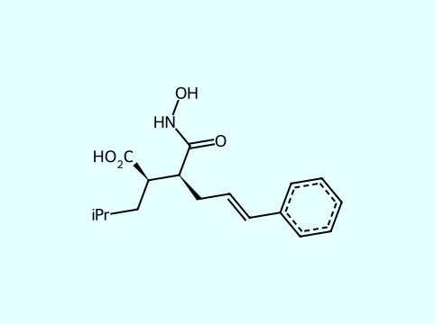 CC(C)C[C@@H](C(=O)O)[C@H](CC=Cc1ccccc1)C(=O)NO